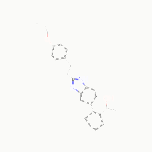 CC(O)c1ccccc1-c1ccc2[nH]c(CCc3ccc(OCC(F)(F)F)cc3)nc2c1